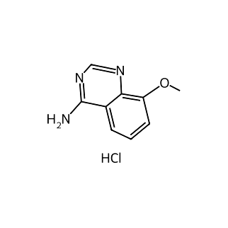 COc1cccc2c(N)ncnc12.Cl